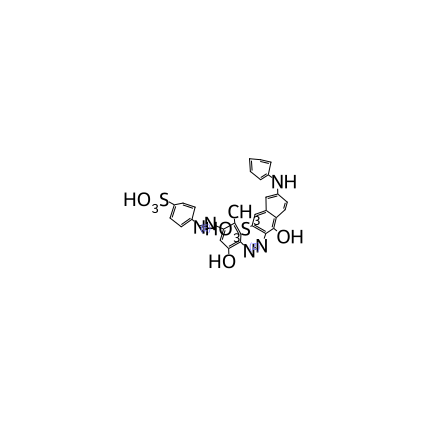 Cc1cc(/N=N\c2c(S(=O)(=O)O)cc3cc(Nc4ccccc4)ccc3c2O)c(O)cc1/N=N/c1ccc(S(=O)(=O)O)cc1